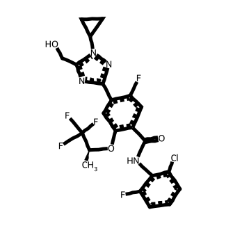 C[C@H](Oc1cc(-c2nc(CO)n(C3CC3)n2)c(F)cc1C(=O)Nc1c(F)cccc1Cl)C(F)(F)F